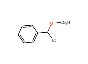 CCC(OC(=O)O)c1ccccc1